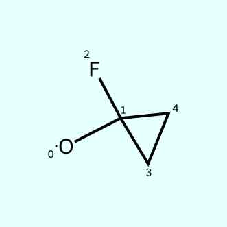 [O]C1(F)CC1